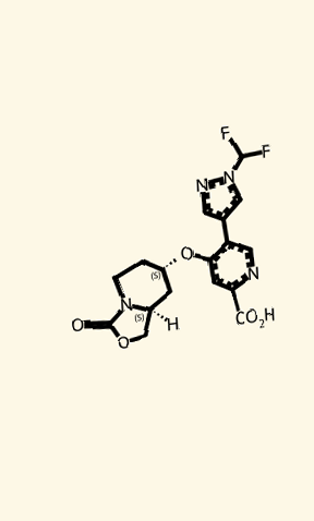 O=C(O)c1cc(O[C@H]2CCN3C(=O)OC[C@@H]3C2)c(-c2cnn(C(F)F)c2)cn1